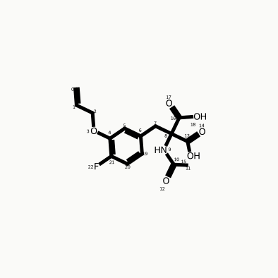 C=CCOc1cc(CC(NC(C)=O)(C(=O)O)C(=O)O)ccc1F